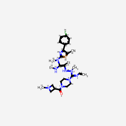 C=C/N=C(/N1CCN(C(=O)C2CN(C)C2)CC1)N(C)N/C(CC)=C(\NCC)N(C)c1nc(-c2ccc(F)cc2)c(C#N)s1